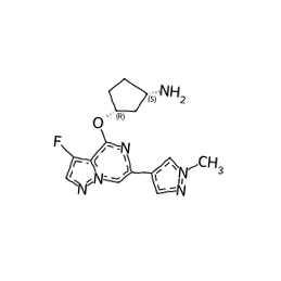 Cn1cc(-c2cn3ncc(F)c3c(O[C@@H]3CC[C@H](N)C3)n2)cn1